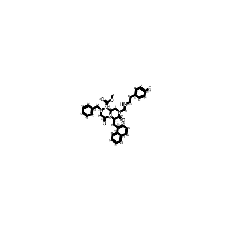 COC(=O)N1C2CN(CNCCc3ccc(F)cc3)C(=O)C(Cc3cccc4ccccc34)N2C(=O)CN1Cc1ccccc1